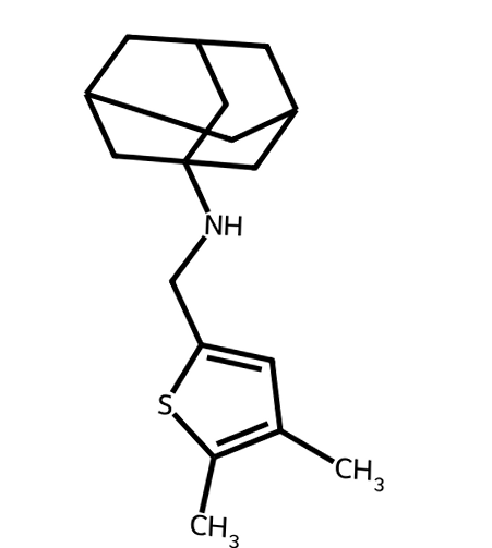 Cc1cc(CNC23CC4CC(CC(C4)C2)C3)sc1C